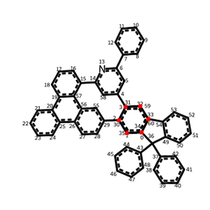 c1ccc(-c2cc(-c3ccccc3)nc(-c3cccc4c5ccccc5c5ccc(-c6ccc7c(c6)C(c6ccccc6)(c6ccccc6)c6ccccc6-7)cc5c34)c2)cc1